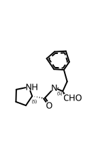 O=C[C@H](Cc1ccccc1)[N]C(=O)[C@@H]1CCCN1